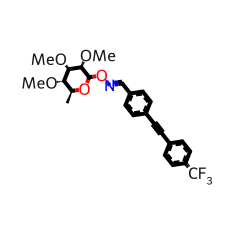 CO[C@@H]1[C@@H](OC)[C@@H](OC)C(ON=Cc2ccc(C#Cc3ccc(C(F)(F)F)cc3)cc2)O[C@H]1C